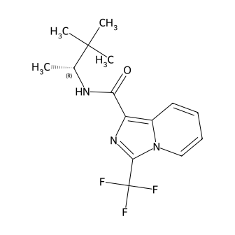 C[C@@H](NC(=O)c1nc(C(F)(F)F)n2ccccc12)C(C)(C)C